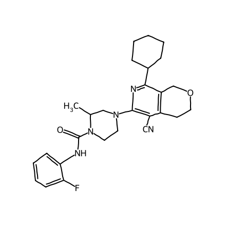 CC1CN(c2nc(C3CCCCC3)c3c(c2C#N)CCOC3)CCN1C(=O)Nc1ccccc1F